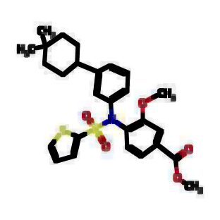 COC(=O)c1ccc(N(c2cccc(C3CCC(C)(C)CC3)c2)S(=O)(=O)c2cccs2)c(OC)c1